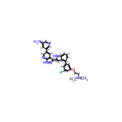 CN(C)CCOc1cc(F)cc(-c2cccc3[nH]c(-c4n[nH]c5ncc(-c6cncc(N)c6)cc45)cc23)c1